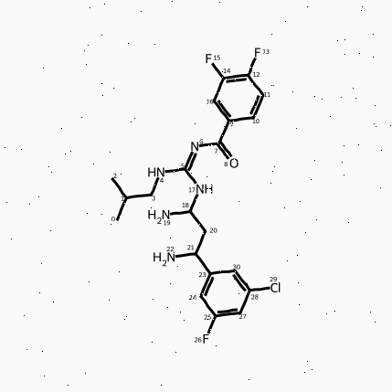 CC(C)CN/C(=N/C(=O)c1ccc(F)c(F)c1)NC(N)CC(N)c1cc(F)cc(Cl)c1